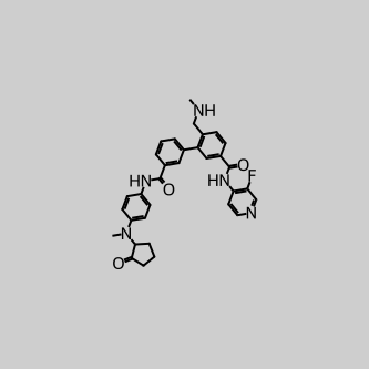 CNCc1ccc(C(=O)Nc2ccncc2F)cc1-c1cccc(C(=O)Nc2ccc(N(C)C3CCCC3=O)cc2)c1